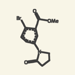 COC(=O)c1cc(N2CCCC2=O)ccc1Br